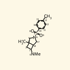 CNC1CC2(C)CN(S(=O)(=O)c3ccc(C)cc3)CC12